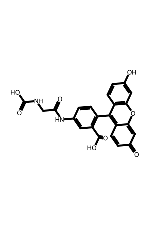 O=C(O)NCC(=O)Nc1ccc(-c2c3ccc(=O)cc-3oc3cc(O)ccc23)c(C(=O)O)c1